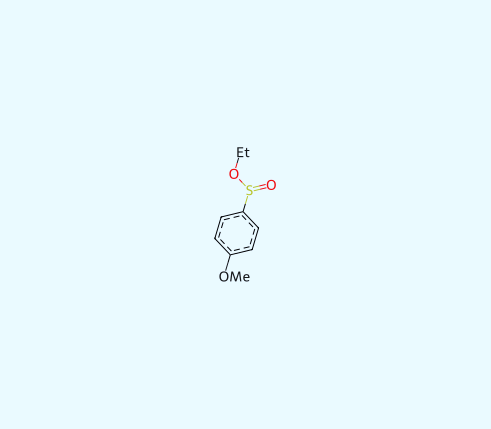 CCOS(=O)c1ccc(OC)cc1